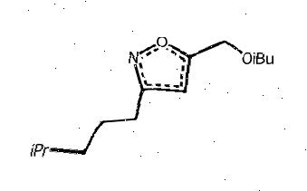 CC(C)CCCc1cc(COCC(C)C)on1